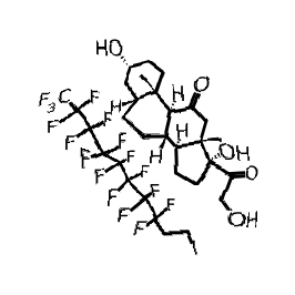 C[C@]12CC[C@@H](O)C[C@H]1CC[C@@H]1[C@@H]2C(=O)C[C@@]2(C)[C@H]1CC[C@]2(O)C(=O)CO.FC(F)(F)C(F)(F)C(F)(F)C(F)(F)C(F)(F)C(F)(F)C(F)(F)C(F)(F)CCI